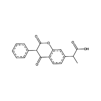 CC(C(=O)O)c1ccc2c(c1)OC(=O)C(c1ccccc1)C2=O